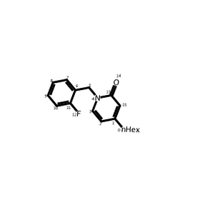 CCCCCCc1ccn(Cc2ccccc2F)c(=O)c1